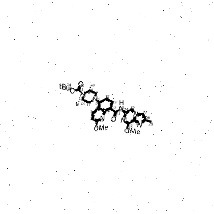 COc1ccc2c(N3C[C@@H](C)N(C(=O)OC(C)(C)C)[C@@H](C)C3)ccc(C(=O)Nc3cn4cc(C)nc4c(OC)n3)c2n1